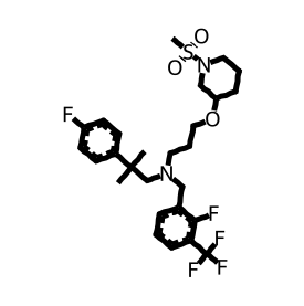 CC(C)(CN(CCCOC1CCCN(S(C)(=O)=O)C1)Cc1cccc(C(F)(F)F)c1F)c1ccc(F)cc1